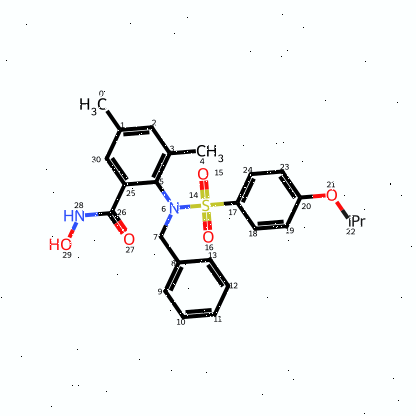 Cc1cc(C)c(N(Cc2ccccc2)S(=O)(=O)c2ccc(OC(C)C)cc2)c(C(=O)NO)c1